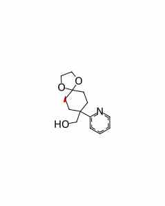 OCC1(c2ccccn2)CCC2(OCCO2)C2(CCCC2)C1